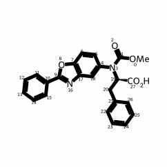 COC(=O)N(c1ccc2oc(-c3ccccc3)nc2c1)[C@H](Cc1ccccc1)C(=O)O